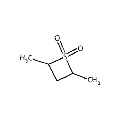 CC1CC(C)S1(=O)=O